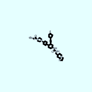 CC(C)(C)OC(=O)N1CCN(c2ccc(-c3ccc(NC(=O)NCc4ccn5ccnc5c4)cc3C#Cc3ccc(F)cc3)cc2)CC1